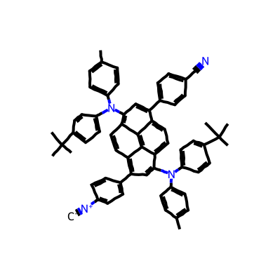 [C-]#[N+]c1ccc(-c2cc(N(c3ccc(C)cc3)c3ccc(C(C)(C)C)cc3)c3ccc4c(-c5ccc(C#N)cc5)cc(N(c5ccc(C)cc5)c5ccc(C(C)(C)C)cc5)c5ccc2c3c45)cc1